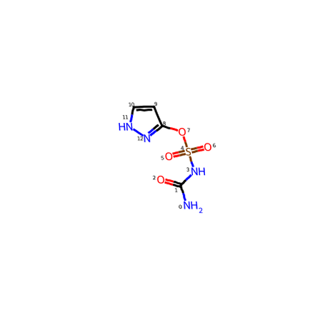 NC(=O)NS(=O)(=O)Oc1cc[nH]n1